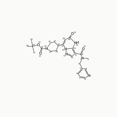 CN(Cc1cccnc1)C(=O)c1cnn2c(C3CCN(C(=O)OC(C)(C)C)CC3)cc(=O)[nH]c12